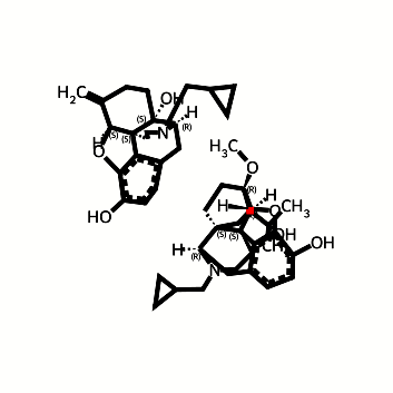 C=C1CC[C@@]2(O)[C@H]3Cc4ccc(O)c5c4[C@@]2(CCN3CC2CC2)[C@H]1O5.CO[C@]12CC[C@@]3(C[C@@H]1C(C)(C)O)[C@H]1Cc4ccc(O)c5c4[C@@]3(CCN1CC1CC1)[C@H]2O5